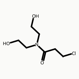 O=C(C[CH]Cl)N(CCO)CCO